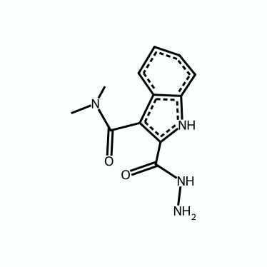 CN(C)C(=O)c1c(C(=O)NN)[nH]c2ccccc12